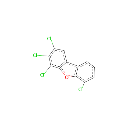 Clc1cc2c(oc3c(Cl)cccc32)c(Cl)c1Cl